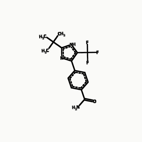 CC(C)(C)c1nc(-c2ccc(C(N)=O)cc2)c(C(F)(F)F)[nH]1